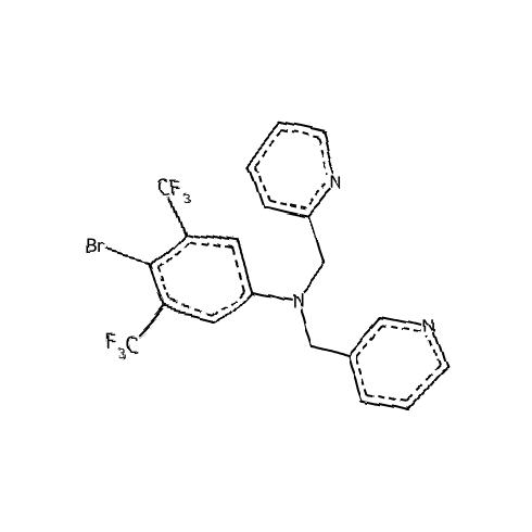 FC(F)(F)c1cc(N(Cc2cccnc2)Cc2ccccn2)cc(C(F)(F)F)c1Br